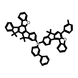 Cc1cccc(-c2cc3c(c4c2oc2ccccc24)-c2ccc(N(c4cccc(-c5ccccc5)c4)c4ccc5c(c4)C(C)(C)c4c6c(c7c(oc8ccccc87)c4-5)-c4ccccc4C6(C)C)cc2C3(C)C)c1